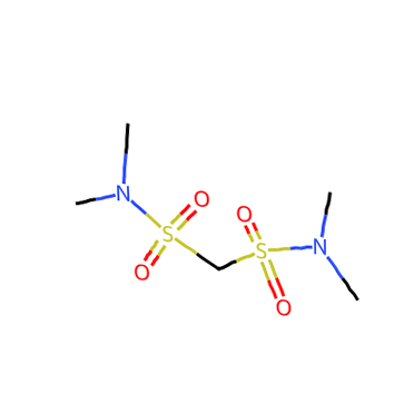 CN(C)S(=O)(=O)CS(=O)(=O)N(C)C